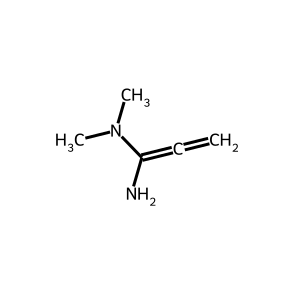 C=C=C(N)N(C)C